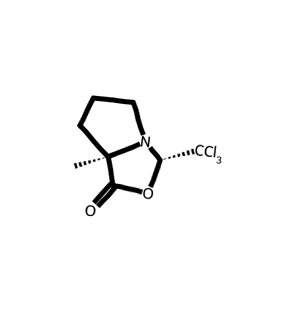 C[C@]12CCCN1[C@H](C(Cl)(Cl)Cl)OC2=O